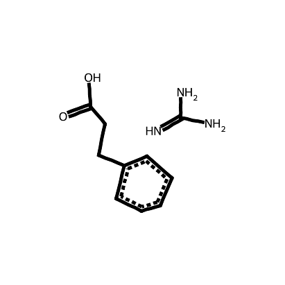 N=C(N)N.O=C(O)CCc1ccccc1